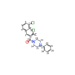 CC(=O)C(=Cc1cccc(Cl)c1Cl)C(=O)N1CCN(c2ccccc2)CC1